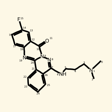 CN(C)CCCNc1nn2c(=O)c3cc(F)ccc3nc2c2ccccc12